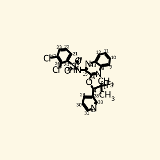 CC(C)(F)C(Oc1nc2ccccc2nc1NS(=O)(=O)c1cccc(Cl)c1Cl)c1cccnc1